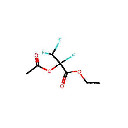 CCOC(=O)C(F)(OC(C)=O)C(F)F